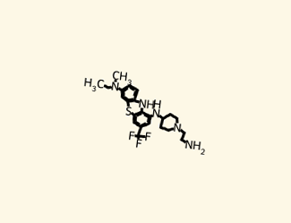 CCN(C)c1ccc2c(c1)Sc1cc(C(F)(F)F)cc(NC3CCN(CCN)CC3)c1N2